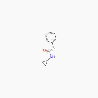 O=C([B]c1ccccc1)NC1CC1